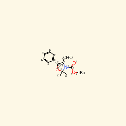 CC(C)(C)OC(=O)N1[C@H](C=O)[C@@H](c2ccccc2)OC1(C)C